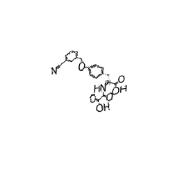 N#Cc1cccc(COc2ccc(C[C@@H](NC(=O)C(=O)O)C(=O)O)cc2)c1